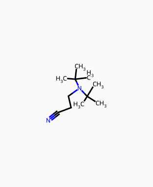 CC(C)(C)N(CCC#N)C(C)(C)C